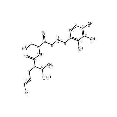 CC/C=C/CC(C(=O)NC(CO)C(=O)CNCc1ccc(O)c(O)c1O)C(C)C(=O)O